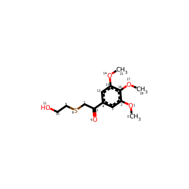 COc1cc(C(=O)CSCCO)cc(OC)c1OC